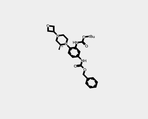 C[C@H]1CN(C2COC2)CCN1c1ccc(NC(=O)OCc2ccccc2)cc1NC(=O)OC(C)(C)C